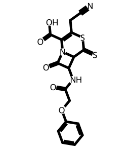 N#CCC1=C(C(=O)O)N2C(=O)C(NC(=O)COc3ccccc3)C2C(=S)S1